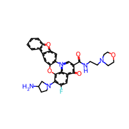 NC1CCN(c2c(F)cc3c(=O)c(C(=O)NCCN4CCOCC4)cn4c3c2Oc2cc3c(cc2-4)oc2ccccc23)C1